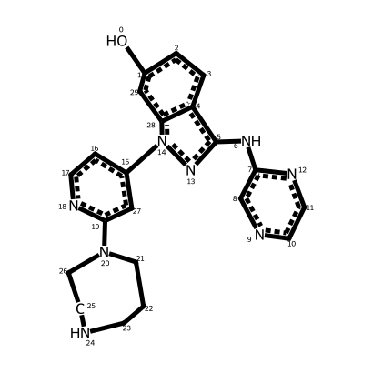 Oc1ccc2c(Nc3cnccn3)nn(-c3ccnc(N4CCCNCC4)c3)c2c1